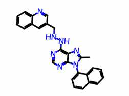 Cc1nc2c(NNCc3cnc4ccccc4c3)ncnc2n1-c1cccc2ccccc12